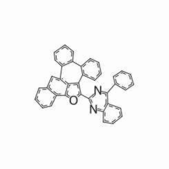 c1ccc(-c2nc(-c3oc4c5c(cc6ccccc64)-c4ccccc4-c4ccccc4-c35)nc3ccccc23)cc1